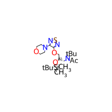 CC(=O)N(C[C@@H](COc1nsnc1N1CCOCC1)O[Si](C)(C)C(C)(C)C)C(C)(C)C